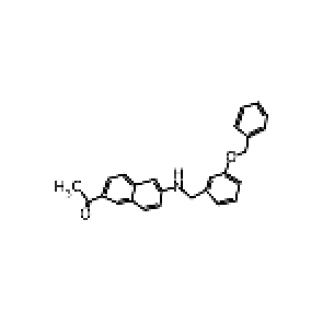 CC(=O)c1ccc2cc(NCc3cccc(OCc4ccccc4)c3)ccc2c1